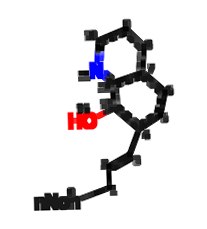 CCCCCCCCCCC=Cc1ccc2cccnc2c1O